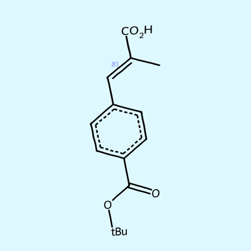 C/C(=C\c1ccc(C(=O)OC(C)(C)C)cc1)C(=O)O